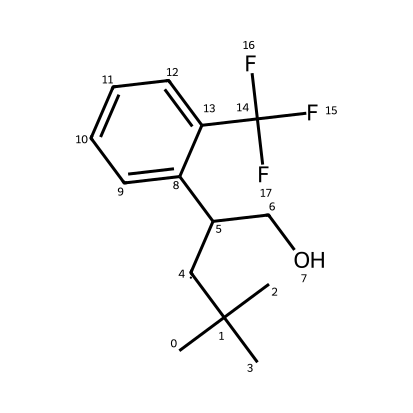 CC(C)(C)[CH]C(CO)c1ccccc1C(F)(F)F